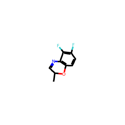 CC1C=Nc2c(ccc(F)c2F)O1